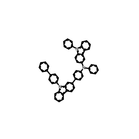 c1ccc(-c2ccc(-n3c4ccccc4c4ccc(-c5ccc(N(c6ccccc6)c6ccc7c(c6)c6ccccc6n7-c6ccccc6)cc5)cc43)cc2)cc1